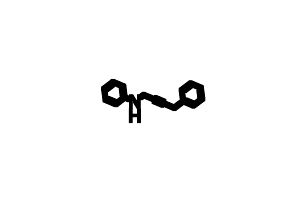 C(#CCc1ccccc1)CNc1ccccc1